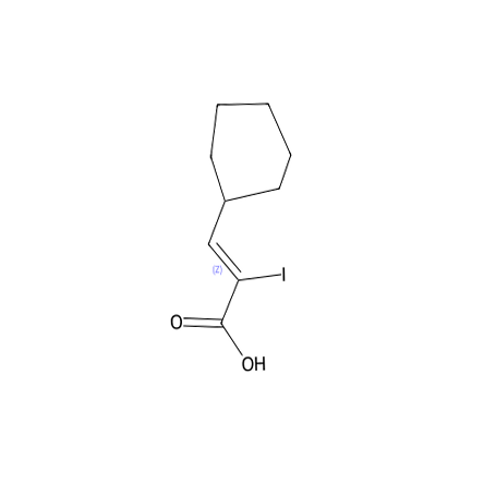 O=C(O)/C(I)=C/C1CCCCC1